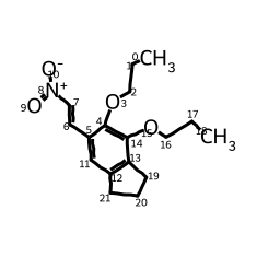 CCCOc1c(C=C[N+](=O)[O-])cc2c(c1OCCC)CCC2